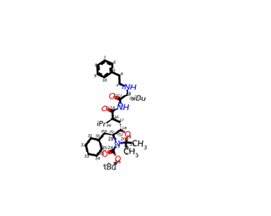 CC[C@H](C)[C@H](NCCc1ccccc1)C(=O)NC(=O)[C@@H](C[C@@H]1OC(C)(C)N(C(=O)OC(C)(C)C)[C@H]1CC1CCCCC1)C(C)C